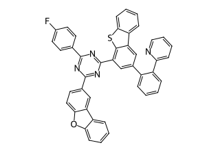 Fc1ccc(-c2nc(-c3ccc4oc5ccccc5c4c3)nc(-c3cc(-c4ccccc4-c4ccccn4)cc4c3sc3ccccc34)n2)cc1